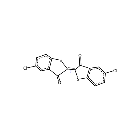 O=C1/C(=C2\Sc3ccc(Cl)cc3C2=O)Sc2ccc(Cl)cc21